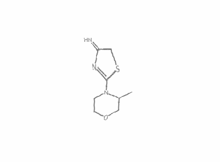 CC1COCCN1C1=NC(=N)CS1